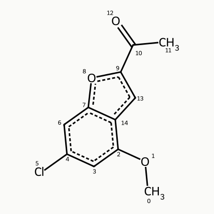 COc1cc(Cl)cc2oc(C(C)=O)cc12